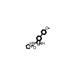 COc1ccc(-c2ccc3c(NC(=O)N4CCCC4)n[nH]c3c2)cc1